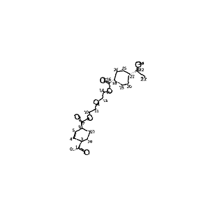 CC(=O)[C@H]1CC[C@@H](C(=O)OCCOCCOC(=O)[C@H]2CC[C@@H](C(C)=O)CC2)CC1